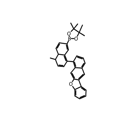 CC1C=CC(c2cccc3cc4c(cc23)oc2ccccc24)=C2C=C(B3OC(C)(C)C(C)(C)O3)C=CC21